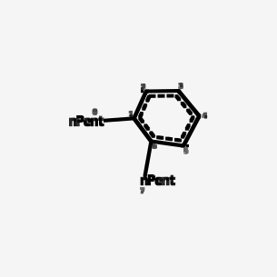 CCCCCc1[c]cc[c]c1CCCCC